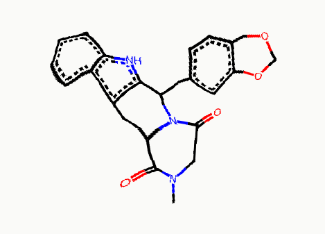 CN1CC(=O)N2C(Cc3c([nH]c4ccccc34)C2c2ccc3c(c2)OCO3)C1=O